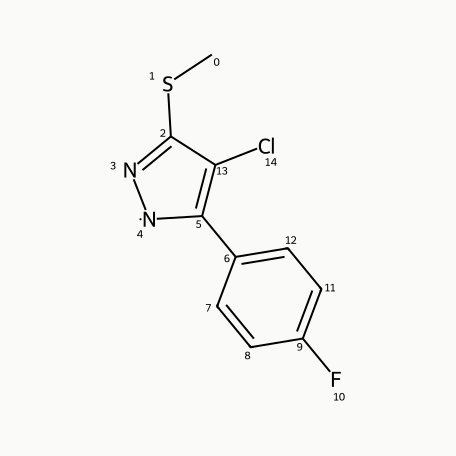 CSC1=N[N]C(c2ccc(F)cc2)=C1Cl